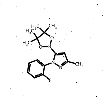 Cc1cc(B2OC(C)(C)C(C)(C)O2)n(-c2ccccc2F)n1